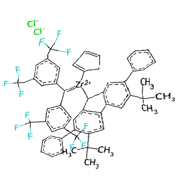 CC(C)(C)c1cc2c(cc1-c1ccccc1)[CH]([Zr+2]([C]1=CC=CC1)=[C](c1cc(C(F)(F)F)cc(C(F)(F)F)c1)c1cc(C(F)(F)F)cc(C(F)(F)F)c1)c1cc(-c3ccccc3)c(C(C)(C)C)cc1-2.[Cl-].[Cl-]